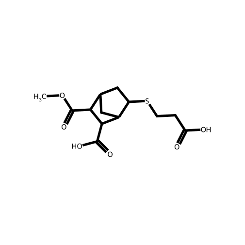 COC(=O)C1C2CC(SCCC(=O)O)C(C2)C1C(=O)O